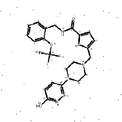 O=C(NCc1ccccc1OC(F)(F)F)c1ccc(CN2CCN(c3ccc(O)nn3)CC2)s1